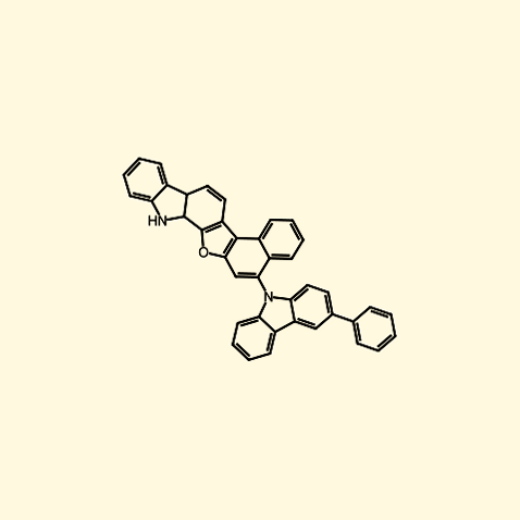 C1=CC2c3ccccc3NC2c2oc3cc(-n4c5ccccc5c5cc(-c6ccccc6)ccc54)c4ccccc4c3c21